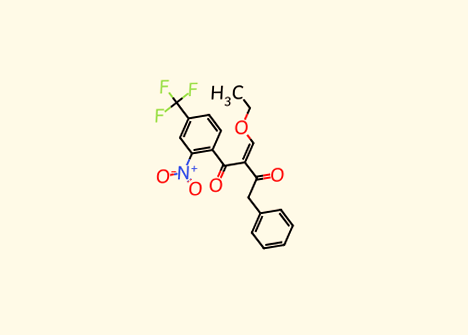 CCOC=C(C(=O)Cc1ccccc1)C(=O)c1ccc(C(F)(F)F)cc1[N+](=O)[O-]